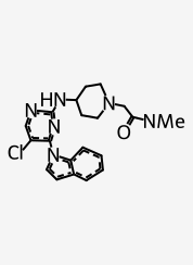 CNC(=O)CN1CCC(Nc2ncc(Cl)c(-n3ccc4ccccc43)n2)CC1